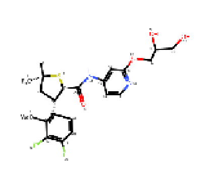 COc1c([C@@H]2C[C@](C)(C(F)(F)F)S[C@H]2C(=O)Nc2ccnc(OCC(O)CO)c2)ccc(F)c1F